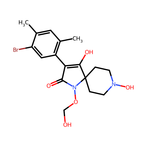 Cc1cc(C)c(C2=C(O)C3(CCN(O)CC3)N(OCO)C2=O)cc1Br